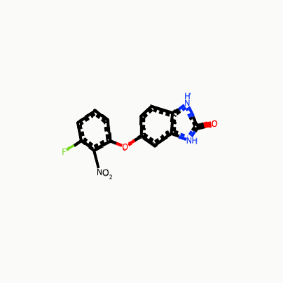 O=c1[nH]c2ccc(Oc3cccc(F)c3[N+](=O)[O-])cc2[nH]1